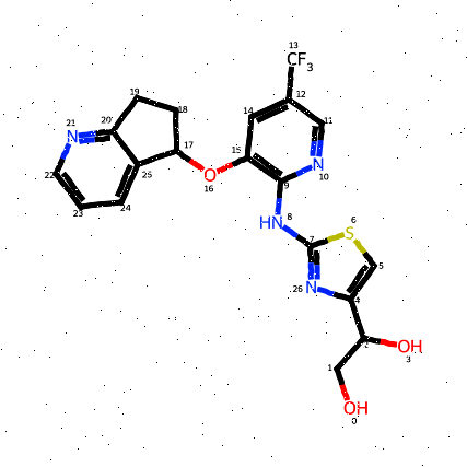 OCC(O)c1csc(Nc2ncc(C(F)(F)F)cc2OC2CCc3ncccc32)n1